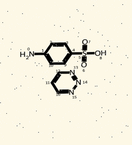 Nc1ccc(S(=O)(=O)O)cc1.c1cnnnc1